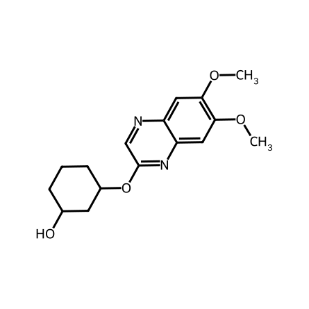 COc1cc2ncc(OC3CCCC(O)C3)nc2cc1OC